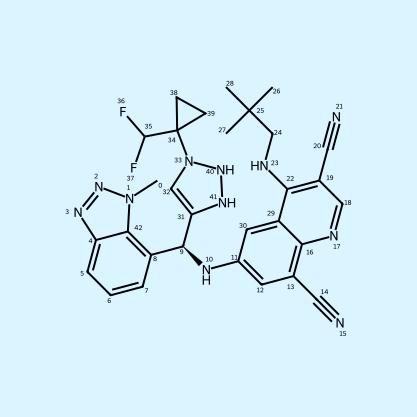 Cn1nnc2cccc([C@H](Nc3cc(C#N)c4ncc(C#N)c(NCC(C)(C)C)c4c3)C3=CN(C4(C(F)F)CC4)NN3)c21